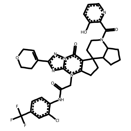 O=C(Cn1c2c(c(=O)n3nc(C4=CCOCC4)nc13)C1(CC2)CCN(C(=O)c2ncccc2O)C2CCCC21)Nc1ccc(C(F)(F)F)cc1Cl